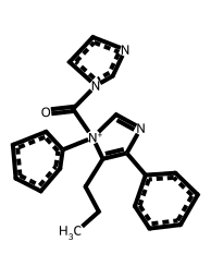 CCCC1=C(c2ccccc2)N=C[N+]1(C(=O)n1ccnc1)c1ccccc1